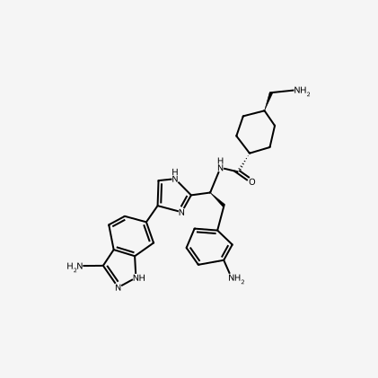 NC[C@H]1CC[C@H](C(=O)N[C@@H](Cc2cccc(N)c2)c2nc(-c3ccc4c(N)n[nH]c4c3)c[nH]2)CC1